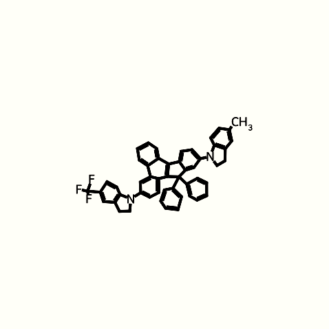 Cc1ccc2c(c1)CCN2c1ccc2c(c1)C(c1ccccc1)(c1ccccc1)c1c-2c2ccccc2c2cc(N3CCc4cc(C(F)(F)F)ccc43)ccc12